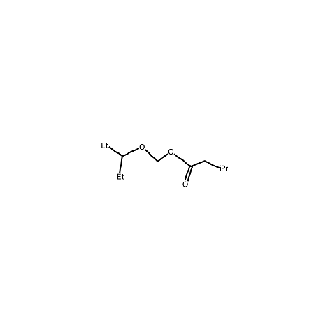 CCC(CC)OCOC(=O)CC(C)C